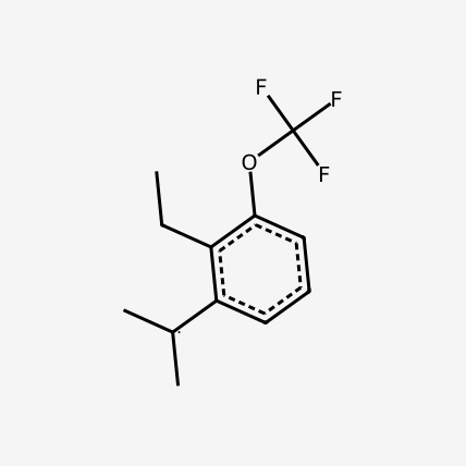 CCc1c(OC(F)(F)F)cccc1[C](C)C